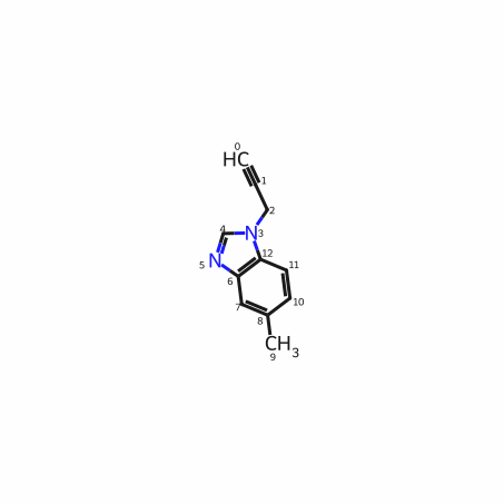 C#CCn1cnc2cc(C)ccc21